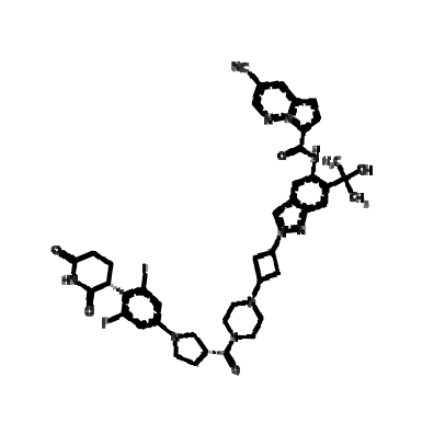 CC(C)(O)c1cc2nn(C3CC(N4CCN(C(=O)[C@@H]5CCN(c6cc(F)c([C@H]7CCC(=O)NC7=O)c(F)c6)C5)CC4)C3)cc2cc1NC(=O)c1ccc2cc(C#N)cnn12